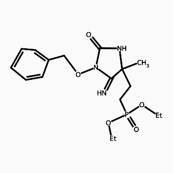 CCOP(=O)(CCC1(C)NC(=O)N(OCc2ccccc2)C1=N)OCC